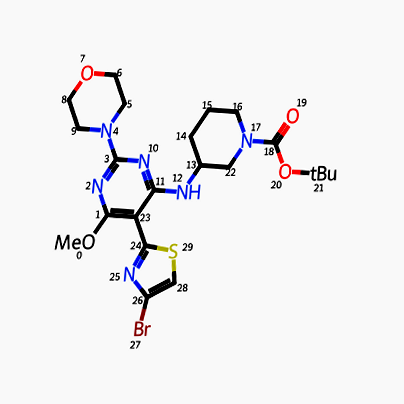 COc1nc(N2CCOCC2)nc(NC2CCCN(C(=O)OC(C)(C)C)C2)c1-c1nc(Br)cs1